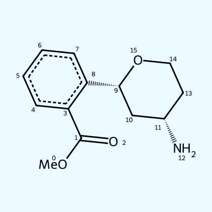 COC(=O)c1ccccc1[C@H]1C[C@@H](N)CCO1